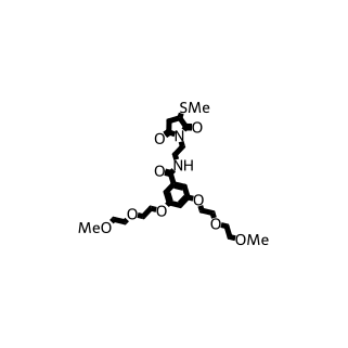 COCCOCCOc1cc(OCCOCCOC)cc(C(=O)NCCN2C(=O)CC(SC)C2=O)c1